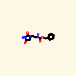 O=C1CN(CCNC(=O)OCc2ccccc2)C(=O)N1